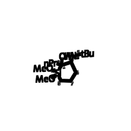 CCCC1(OC)C(NC(C)(C)C)CCC[Si]1(OC)OC